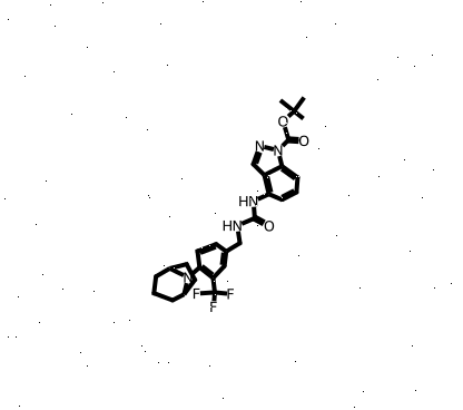 CC(C)(C)OC(=O)n1ncc2c(NC(=O)NCc3ccc(N4C5CCCC4CC5)c(C(F)(F)F)c3)cccc21